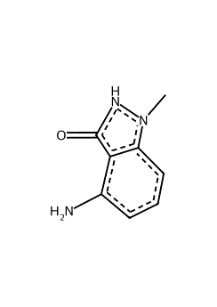 Cn1[nH]c(=O)c2c(N)cccc21